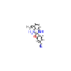 Cc1cccc(Nc2c(N)oc3cc(C#N)ccc23)c1